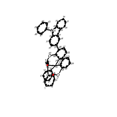 c1ccc(-c2cccc3c2C2(c4ccccc4Oc4ccccc42)c2cccc(-c4ccc5c(c4)c4ccccc4n5-c4ccccc4)c2O3)cc1